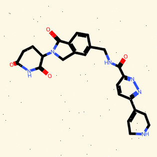 O=C1CCC(N2Cc3cc(CNC(=O)c4ccc(C5=CCNCC5)nn4)ccc3C2=O)C(=O)N1